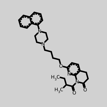 CCC(C)C(=O)N1C(=O)CCc2ccc(OCCCCN3CCN(c4cccc5ccccc45)CC3)nc21